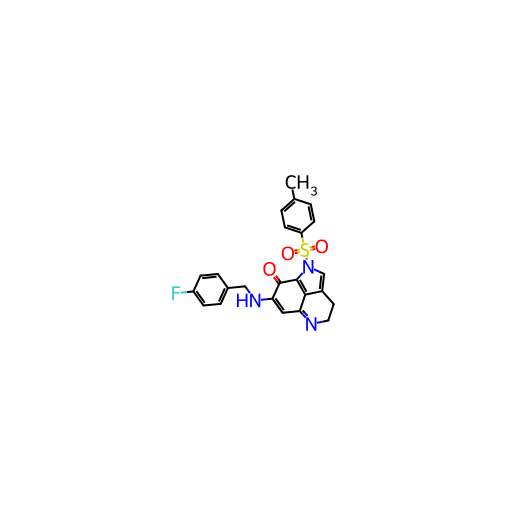 Cc1ccc(S(=O)(=O)n2cc3c4c2C(=O)C(NCc2ccc(F)cc2)=CC4=NCC3)cc1